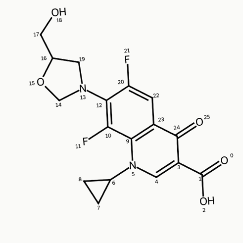 O=C(O)c1cn(C2CC2)c2c(F)c(N3COC(CO)C3)c(F)cc2c1=O